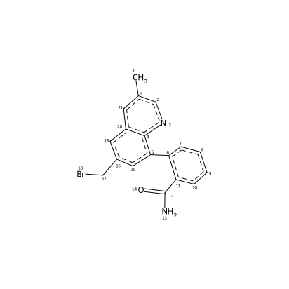 Cc1cnc2c(-c3ccccc3C(N)=O)cc(CBr)cc2c1